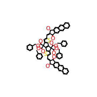 O=C1C(=Cc2cc3c(s2)C2=C(c4sc(C=C5C(=O)c6cc7cc8ccccc8cc7cc6C5=O)cc4C2(C(=O)OCc2ccccc2)C(=O)OCc2ccccc2)C3(C(=O)OCc2ccccc2)C(=O)OCc2ccccc2)C(=O)c2cc3cc4ccccc4cc3cc21